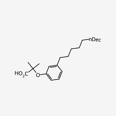 CCCCCCCCCCCCCCCc1cccc(OC(C)(C)C(=O)O)c1